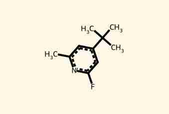 Cc1cc(C(C)(C)C)cc(F)n1